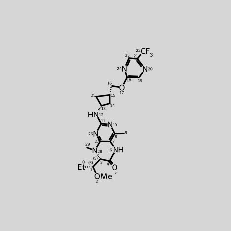 CC[C@@H](OC)[C@H]1C(=O)Nc2c(C)nc(N[C@H]3C[C@@H](COc4cnc(C(F)(F)F)cn4)C3)nc2N1C